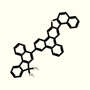 CC1(C)c2ccccc2-c2c1cc(-c1ccc3c(c1)c1ccccc1c1cc4c(cc31)oc1ccc3ccccc3c14)c1ccccc21